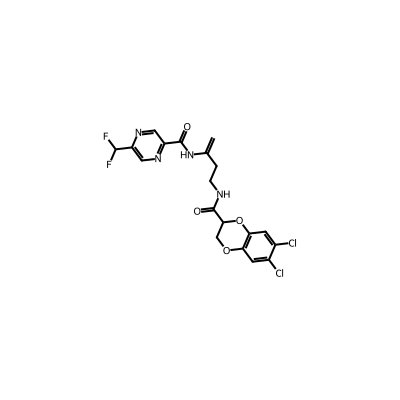 C=C(CCNC(=O)C1COc2cc(Cl)c(Cl)cc2O1)NC(=O)c1cnc(C(F)F)cn1